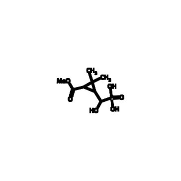 COC(=O)C1C(C(O)P(=O)(O)O)C1(C)C